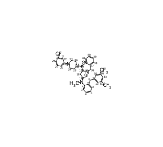 CN(c1ccccc1Cc1cc(C(F)(F)F)cc(C(F)(F)F)c1)[C@H]1C[C@@H](C(=O)N2CCN(c3cccc(C(F)(F)F)c3)CC2)N(Cc2ccccc2)C1